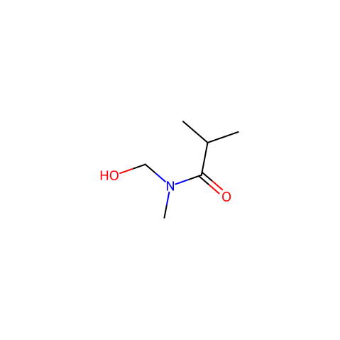 CC(C)C(=O)N(C)CO